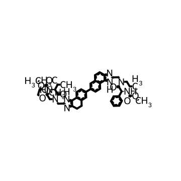 CCCN(Cc1nc2ccc3cc(-c4ccc5c(c4)CCc4nc(CN(CC6(C)OCCO6)C(=O)[C@@H](NC(=O)OC)C(C)C)[nH]c4-5)ccc3c2[nH]1)C(=O)[C@H](NC(=O)OC)c1ccccc1